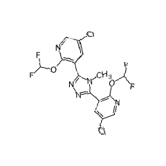 Cn1c(-c2cc(Cl)cnc2OC(F)F)nnc1-c1cc(Cl)cnc1OC(F)F